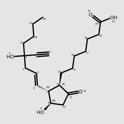 C#CC(O)(CC=C[C@H]1[C@H](O)CC(=O)[C@@H]1CCCCCCC(=O)O)CCCC